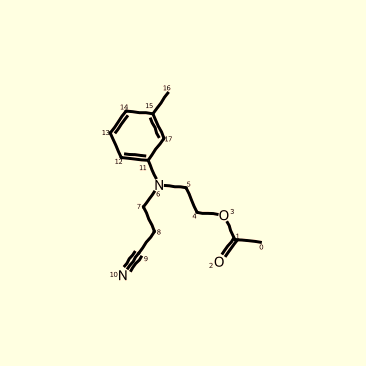 CC(=O)OCCN(CCC#N)c1cccc(C)c1